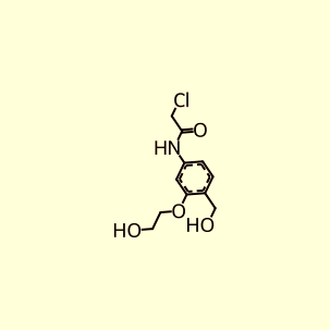 O=C(CCl)Nc1ccc(CO)c(OCCO)c1